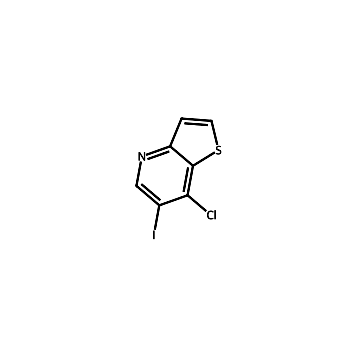 Clc1c(I)cnc2ccsc12